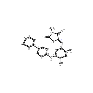 CN1C(=O)S/C(=C\c2cc(Oc3ccc(-c4ccccn4)cc3)c(O)cc2Br)C1=O